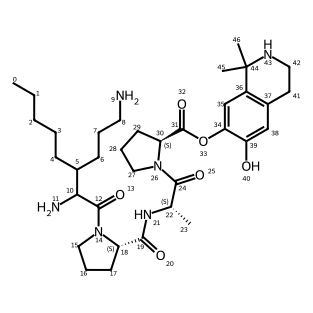 CCCCCC(CCCN)C(N)C(=O)N1CCC[C@H]1C(=O)N[C@@H](C)C(=O)N1CCC[C@H]1C(=O)Oc1cc2c(cc1O)CCNC2(C)C